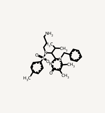 Cc1ccc(S(=O)(=O)N(CCCN)C(c2nc(=O)c(C)c(C)n2Cc2ccccc2)C(C)C)cc1